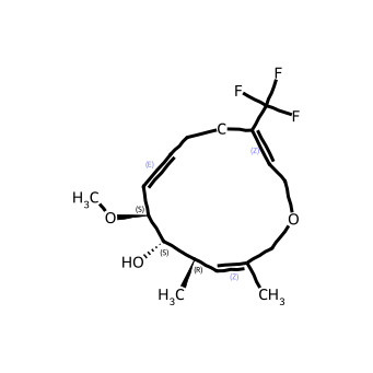 CO[C@H]1/C=C/CC/C(C(F)(F)F)=C/COC/C(C)=C\[C@@H](C)[C@@H]1O